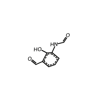 O=CNc1cccc(C=O)c1O